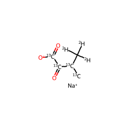 [2H]C([2H])([2H])[13CH]([13CH3])[13C](=O)[13C](=O)[O-].[Na+]